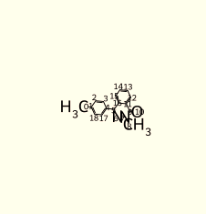 Cc1ccc(-c2nn(C)c(=O)c3ccccc23)cc1